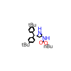 CCCCOC(=O)N[C@H]1CN[C@@H](C(c2ccc(C(C)(C)C)cc2)c2ccc(C(C)(C)C)cc2)C1